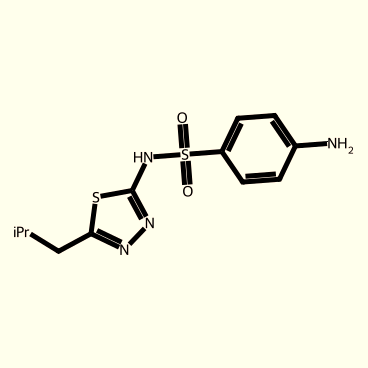 CC(C)Cc1nnc(NS(=O)(=O)c2ccc(N)cc2)s1